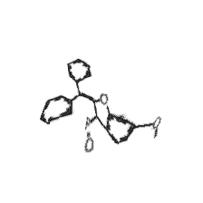 COc1ccc2c(c1)OC(=C(c1ccccc1)c1ccccc1)C2P=O